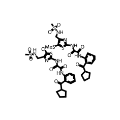 CS(=O)(=O)NCc1nc(NC(=O)C(=O)Nc2ccccc2C(=O)C2CCCC2)sc1Cl.CSc1sc(NC(=O)C(=O)Nc2ccccc2C(=O)C2CCCC2)nc1CNS(C)(=O)=O